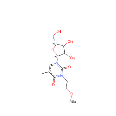 CCCCOCCn1c(=O)c(C)cn([C@@H]2O[C@H](CO)C(O)C2O)c1=O